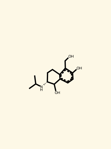 CC(C)N[C@@H]1CCc2c(ccc(O)c2CO)C1O